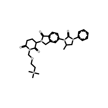 CC1CN(c2ccccc2)C(=O)N1c1ccc2c(c1)CN(C1CCC(=O)N(COCC[Si](C)(C)C)C1=O)C2=O